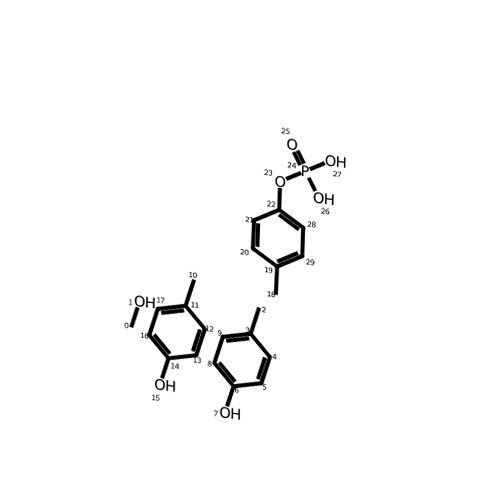 CO.Cc1ccc(O)cc1.Cc1ccc(O)cc1.Cc1ccc(OP(=O)(O)O)cc1